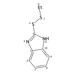 CCSSc1nc2ccccc2[nH]1